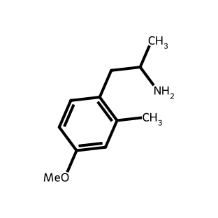 COc1ccc(CC(C)N)c(C)c1